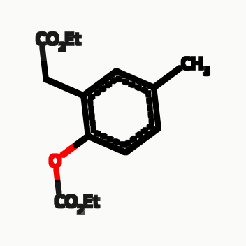 CCOC(=O)Cc1cc(C)ccc1OC(=O)OCC